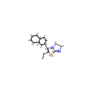 CCC1=C(c2ccc3ccccc3c2)N2CCN=C2S1